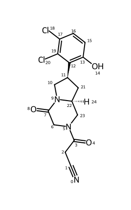 N#CCC(=O)N1CC(=O)N2C[C@@H](c3c(O)ccc(Cl)c3Cl)C[C@H]2C1